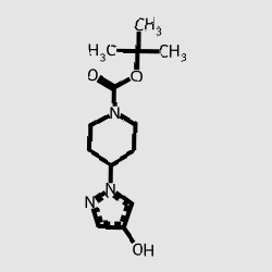 CC(C)(C)OC(=O)N1CCC(n2cc(O)cn2)CC1